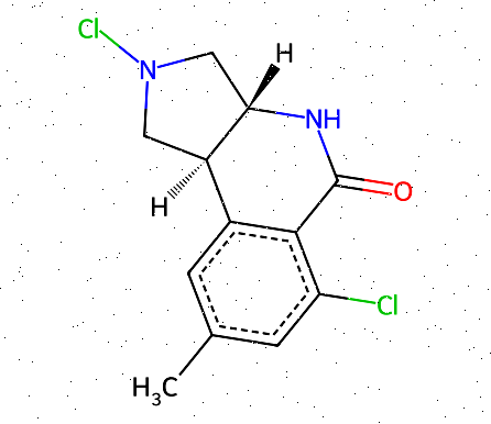 Cc1cc(Cl)c2c(c1)[C@H]1CN(Cl)C[C@@H]1NC2=O